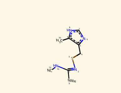 CNC(=NSCc1nc[nH]c1C)NC#N